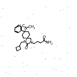 CN(C)[C@]1(c2ccccc2)CC[C@@]2(CC1)CN(CCCC(N)=O)C(=O)N2CC1CCC1